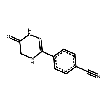 N#Cc1ccc(C2=NNC(=O)CN2)cc1